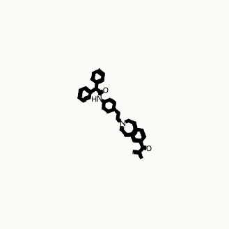 CC(C)C(=O)c1ccc2c(c1)CCN(CCC1CCC(NC(=O)C(c3ccccc3)c3ccccc3)CC1)CC2